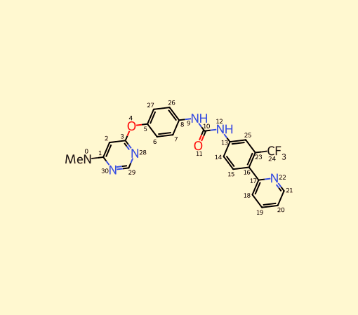 CNc1cc(Oc2ccc(NC(=O)Nc3ccc(-c4ccccn4)c(C(F)(F)F)c3)cc2)ncn1